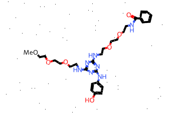 COCCOCCOCCNc1nc(NCCOCCOCCNC(=O)c2ccccc2)nc(Nc2ccc(O)cc2)n1